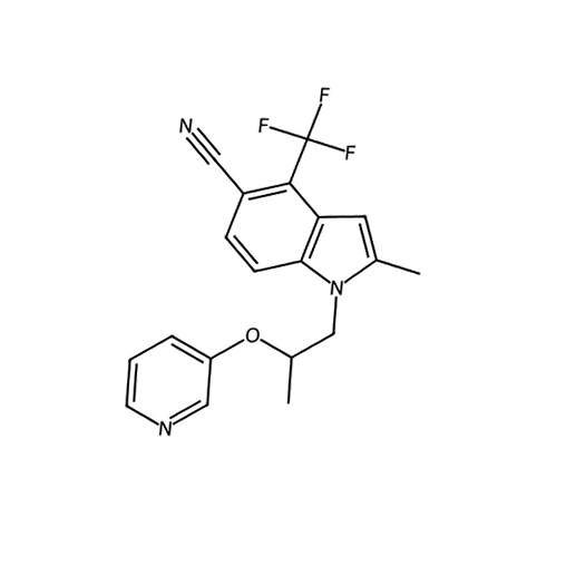 Cc1cc2c(C(F)(F)F)c(C#N)ccc2n1CC(C)Oc1cccnc1